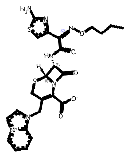 CCCCO/N=C(\C(=O)N[C@@H]1C(=O)N2C(C(=O)[O-])=C(Cn3cc[n+]4ccccc34)CS[C@H]12)c1csc(N)n1